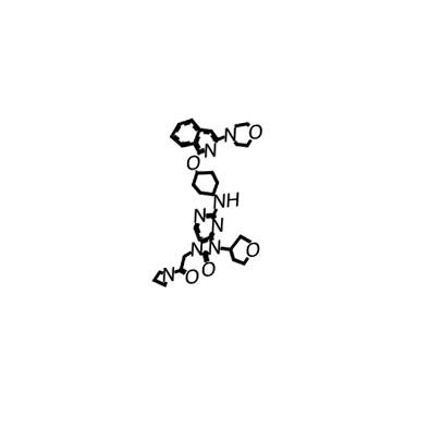 O=C(Cn1c(=O)n(C2CCOCC2)c2nc(N[C@H]3CC[C@@H](Oc4nc(N5CCOCC5)cc5ccccc45)CC3)ncc21)N1CCC1